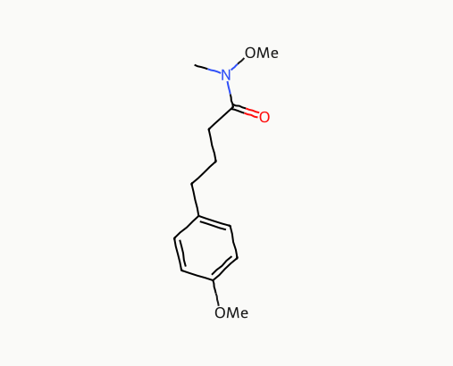 COc1ccc(CCCC(=O)N(C)OC)cc1